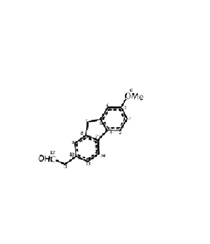 COc1ccc2c(c1)Cc1cc(CC=O)ccc1-2